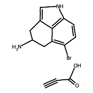 C#CC(=O)O.NC1Cc2c[nH]c3ccc(Br)c(c23)C1